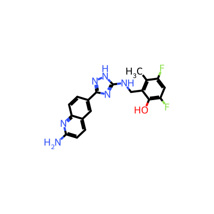 Cc1c(F)cc(F)c(O)c1CNc1nc(-c2ccc3nc(N)ccc3c2)n[nH]1